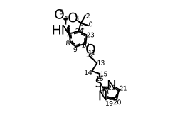 CC1(C)OC(=O)Nc2ccc(OCCCCSc3ncccn3)cc21